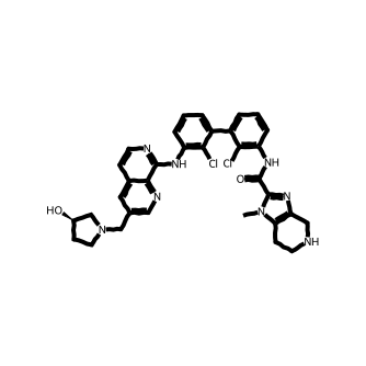 Cn1c(C(=O)Nc2cccc(-c3cccc(Nc4nccc5cc(CN6CC[C@@H](O)C6)cnc45)c3Cl)c2Cl)nc2c1CCNC2